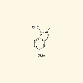 COc1ccc2c(c1)cc(C)n2C=O